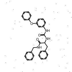 O=C(Nc1cccc(Oc2ccccc2)c1)NC(Cc1ccccc1)C(=O)NCc1ccccc1